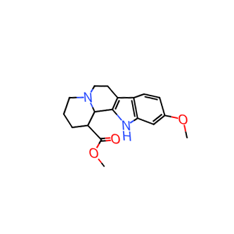 COC(=O)C1CCCN2CCc3c([nH]c4cc(OC)ccc34)C12